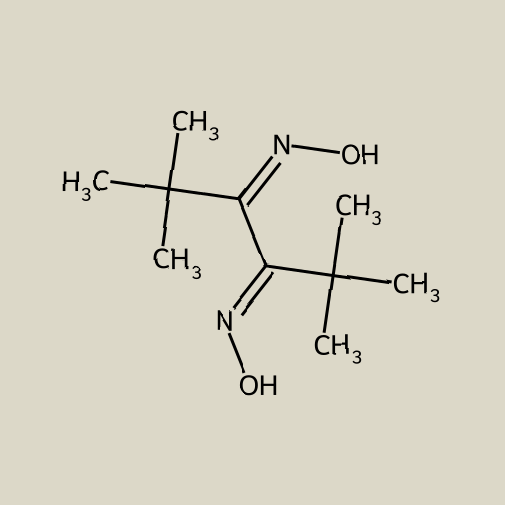 CC(C)(C)C(=NO)C(=NO)C(C)(C)C